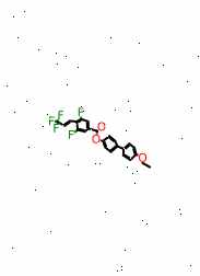 CCOc1ccc(-c2ccc(OC(=O)c3cc(F)c(/C=C/C(F)(F)F)c(F)c3)cc2)cc1